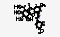 COc1ccc(/C=C/c2cc(OC)cc(OC)c2O[C@@H]2O[C@H](CO)[C@@H](O)[C@H](O)[C@H]2O)cc1